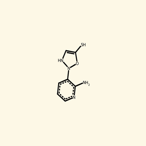 Nc1ncccc1N1NC=C(S)O1